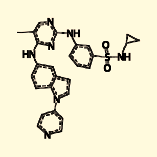 Cc1cnc(Nc2cccc(S(=O)(=O)NC3CC3)c2)nc1Nc1ccc2c(ccn2-c2ccncc2)c1